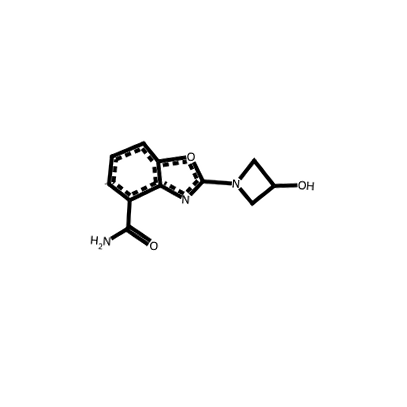 NC(=O)c1[c]ccc2oc(N3CC(O)C3)nc12